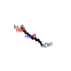 CCCCCCCCCCCCCCCCCC(=O)NCCCCCCOP(C)O